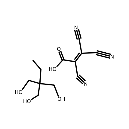 CCC(CO)(CO)CO.N#CC(C#N)=C(C#N)C(=O)O